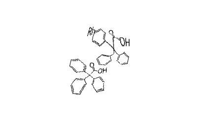 O=C(O)C(c1ccccc1)(c1ccccc1)c1ccccc1.O=C(O)C(c1ccccc1)(c1ccccc1)c1ccccc1.[Rh]